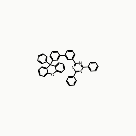 c1ccc(-c2nc(-c3ccccc3)nc(-c3cccc(-c4cccc(C5(c6ccccc6)c6ccccc6Oc6ccccc65)c4)c3)n2)cc1